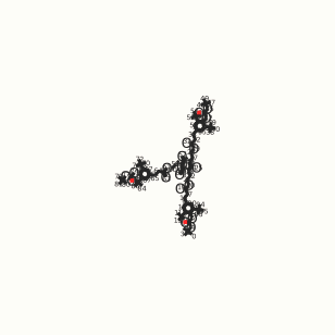 CC(C)(C)OC(=O)Oc1c(C(C)(C)C)cc(CCC(=O)OCCn2c(=O)n(CCOC(=O)CCc3cc(C(C)(C)C)c(OC(=O)OC(C)(C)C)c(C(C)(C)C)c3)c(=O)n(CCOC(=O)CCc3cc(C(C)(C)C)c(OC(=O)OC(C)(C)C)c(C(C)(C)C)c3)c2=O)cc1C(C)(C)C